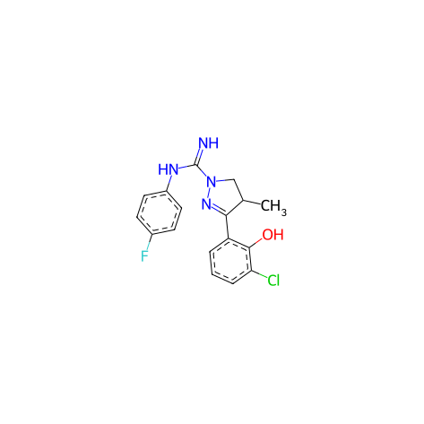 CC1CN(C(=N)Nc2ccc(F)cc2)N=C1c1cccc(Cl)c1O